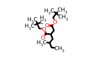 CCC(C)CC(CC(=O)OCC(C)(C)C)C(=O)OCC(C)(C)C